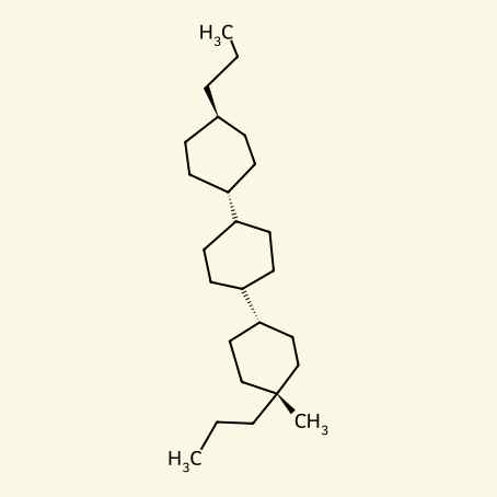 CCC[C@H]1CC[C@H](C2CCC([C@H]3CC[C@@](C)(CCC)CC3)CC2)CC1